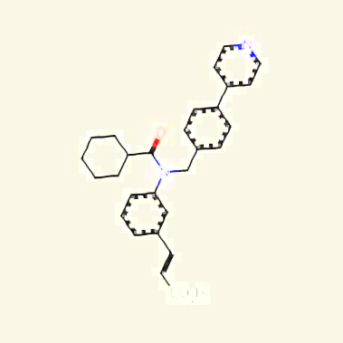 O=C(O)C=Cc1cccc(N(Cc2ccc(-c3ccncc3)cc2)C(=O)C2CCCCC2)c1